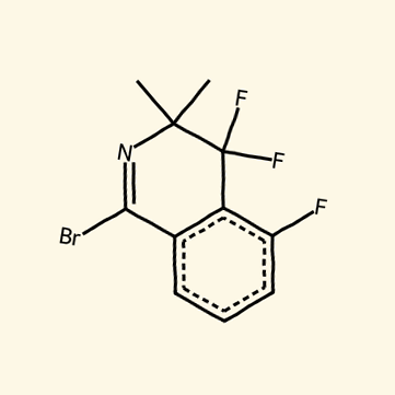 CC1(C)N=C(Br)c2cccc(F)c2C1(F)F